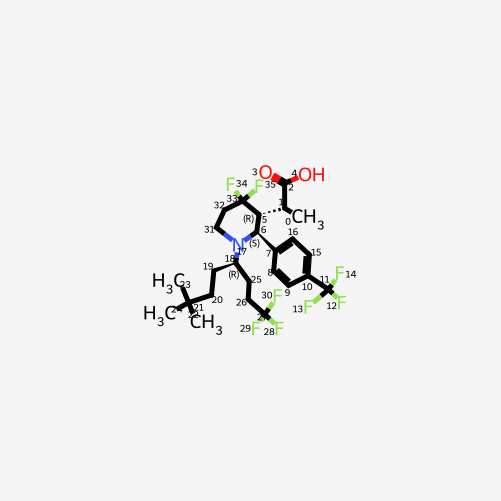 CC(C(=O)O)[C@@H]1[C@@H](c2ccc(C(F)(F)F)cc2)N([C@H](CCC(C)(C)C)CCC(F)(F)F)CCC1(F)F